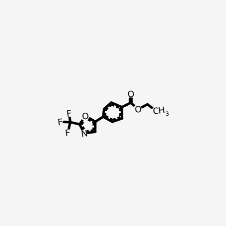 CCOC(=O)c1ccc(-c2cnc(C(F)(F)F)o2)cc1